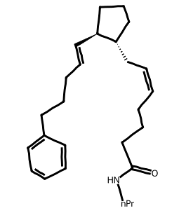 CCCNC(=O)CCC/C=C\C[C@H]1CCC[C@@H]1/C=C/CCCc1ccccc1